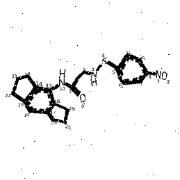 O=C(CNSc1ccc([N+](=O)[O-])cc1)Nc1c2c(cc3c1CCC3)CCC2